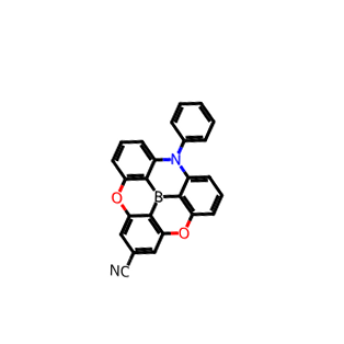 N#Cc1cc2c3c(c1)Oc1cccc4c1B3c1c(cccc1N4c1ccccc1)O2